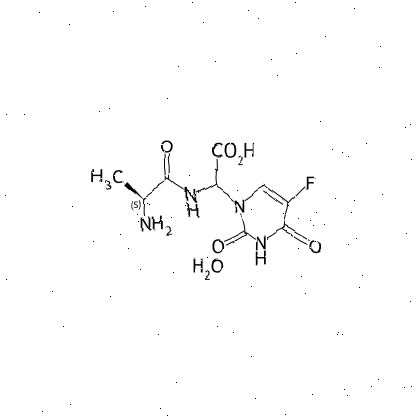 C[C@H](N)C(=O)NC(C(=O)O)n1cc(F)c(=O)[nH]c1=O.O